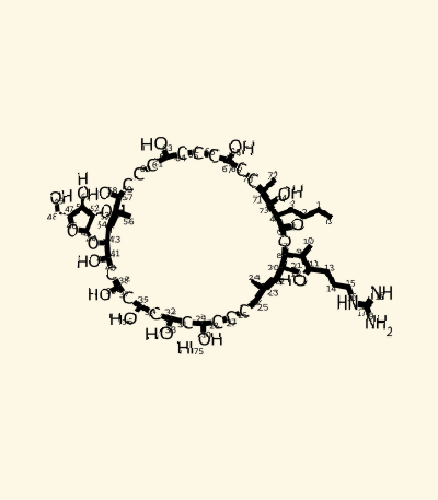 CCCCC1C(=O)OC(C(C)C(O)CCCNC(=N)N)C(C)/C=C(\C)CCCCC(O)CC(O)CC(O)CC(O)CC(O)C(O[C@H]2O[C@H](CO)[C@@H](O)[C@@H]2O)/C=C(\C)C(O)CCCC(O)CCCC(O)CCC(C)C1O.I